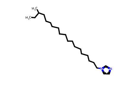 CCC(C)CCCCCCCCCCCCCCCCn1ccnc1